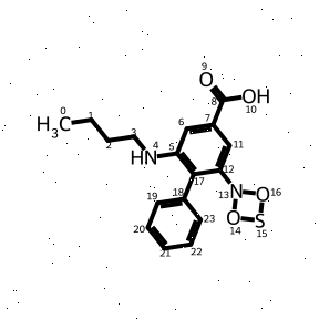 CCCCNc1cc(C(=O)O)cc(N2OSO2)c1-c1ccccc1